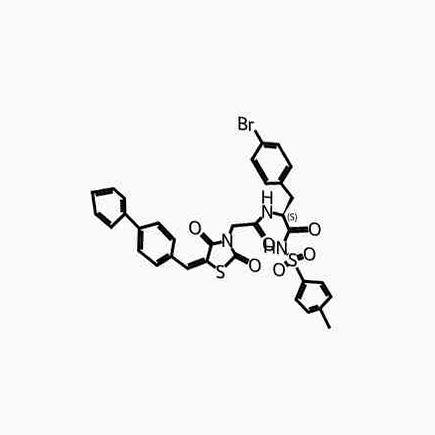 Cc1ccc(S(=O)(=O)NC(=O)[C@H](Cc2ccc(Br)cc2)NC(=O)CN2C(=O)SC(=Cc3ccc(-c4ccccc4)cc3)C2=O)cc1